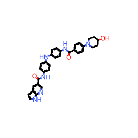 O=C(Nc1ccc(Nc2ccc(NC(=O)c3cnc4[nH]ccc4c3)cc2)cc1)c1ccc(N2CCC(O)CC2)cc1